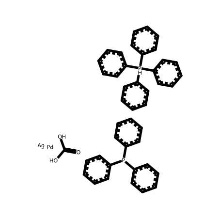 O=C(O)O.[Ag].[Pd].c1ccc(P(c2ccccc2)c2ccccc2)cc1.c1ccc([PH](c2ccccc2)(c2ccccc2)c2ccccc2)cc1